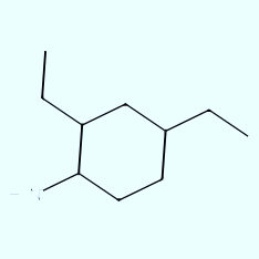 CCC1CCC(N)C(CC)C1